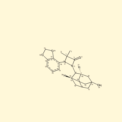 CC1(C)C(=O)N(C2[C@@H]3CC4C[C@H]2CC(O)(C4)C3)N1c1cccc2c1OCO2